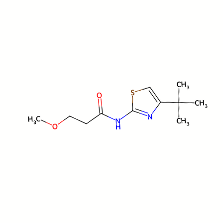 COCCC(=O)Nc1nc(C(C)(C)C)cs1